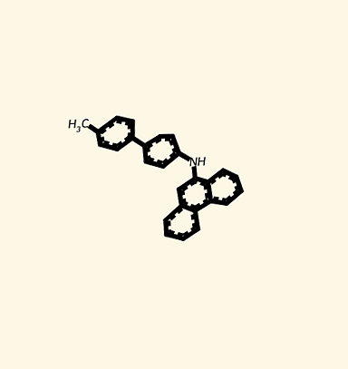 Cc1ccc(-c2ccc(Nc3cc4ccccc4c4ccccc34)cc2)cc1